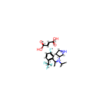 CC(C)N(C(C)c1cc(F)ccc1C(F)(F)F)[C@H]1CCNC1.O=C(O)C=CC(=O)O